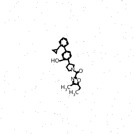 CCc1oc(C(=O)N2CCC(c3ccc(-c4ccccc4C4CC4)cc3CO)C2)nc1C